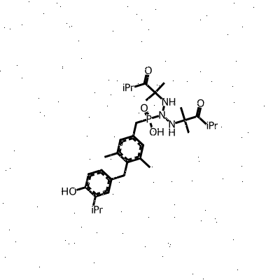 Cc1cc(CP(=O)(O)N(NC(C)(C)C(=O)C(C)C)NC(C)(C)C(=O)C(C)C)cc(C)c1Cc1ccc(O)c(C(C)C)c1